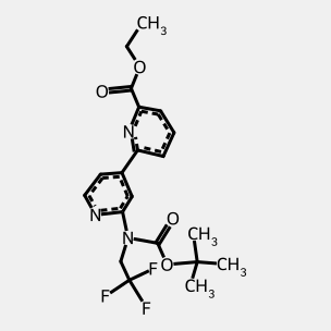 CCOC(=O)c1cccc(-c2ccnc(N(CC(F)(F)F)C(=O)OC(C)(C)C)c2)n1